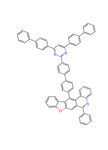 c1ccc(-c2ccc(-c3cc(-c4ccc(-c5ccccc5)cc4)nc(-c4ccc(-c5ccc(-c6c7c(cc8c(-c9ccccc9)nc9ccccc9c68)oc6ccccc67)cc5)cc4)n3)cc2)cc1